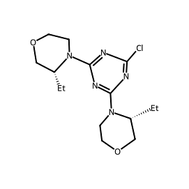 CC[C@@H]1COCCN1c1nc(Cl)nc(N2CCOC[C@H]2CC)n1